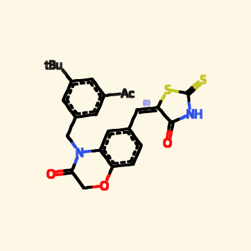 CC(=O)c1cc(CN2C(=O)COc3ccc(/C=C4/SC(=S)NC4=O)cc32)cc(C(C)(C)C)c1